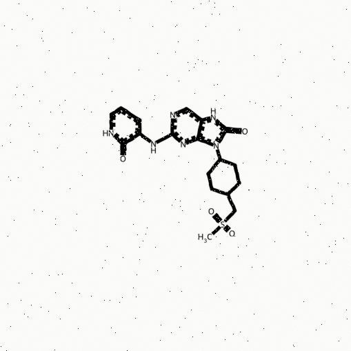 CS(=O)(=O)CC1CCC(n2c(=O)[nH]c3cnc(Nc4ccc[nH]c4=O)nc32)CC1